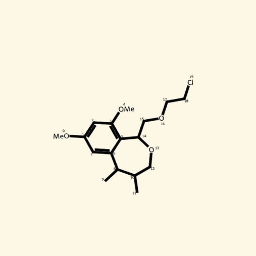 COc1cc(OC)c2c(c1)C(C)C(C)COC2COCCCl